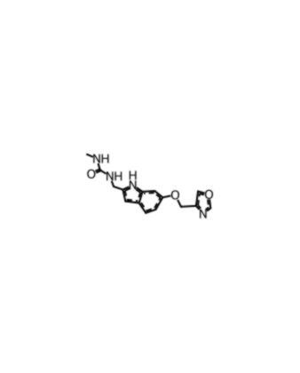 CNC(=O)NCc1cc2ccc(OCc3cocn3)cc2[nH]1